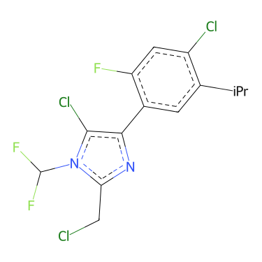 CC(C)c1cc(-c2nc(CCl)n(C(F)F)c2Cl)c(F)cc1Cl